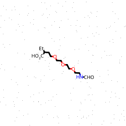 CCC(CCOCCOCCOCCNC=O)C(=O)O